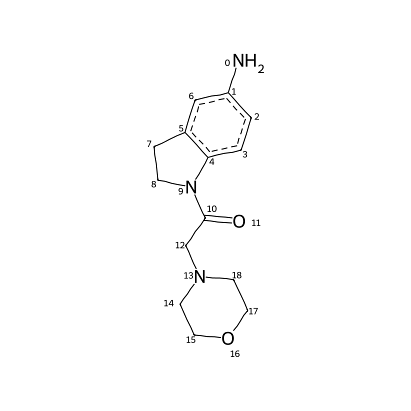 Nc1ccc2c(c1)CCN2C(=O)CN1CCOCC1